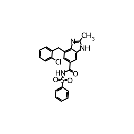 Cc1nc2c(Cc3ccccc3Cl)cc(C(=O)NS(=O)(=O)c3ccccc3)cc2[nH]1